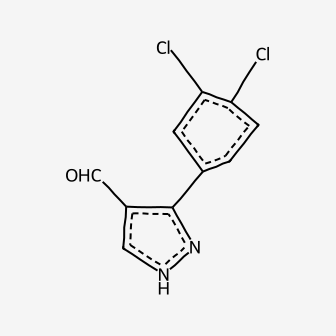 O=Cc1c[nH]nc1-c1ccc(Cl)c(Cl)c1